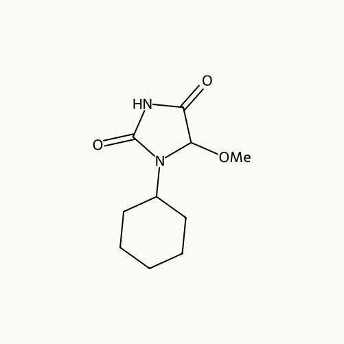 COC1C(=O)NC(=O)N1C1CCCCC1